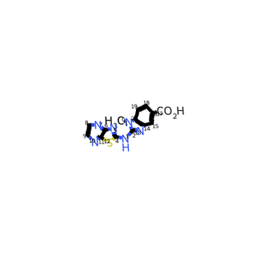 Cn1c(Nc2nc3nccnc3s2)nc2cc(C(=O)O)ccc21